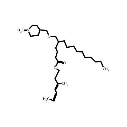 C/C=C\C=C(/C)CCOC(=O)CCCC(CCCCCCCCCC)COCC1CCN(C)CC1